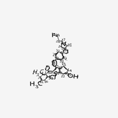 Cc1cc(C)c(C(=O)c2sc3cc(O)ccc3c2Oc2ccc(OC3CN(CCCF)C3)cc2)c(Cl)c1